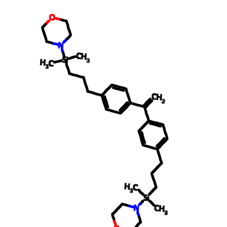 C=C(c1ccc(CCC[Si](C)(C)N2CCOCC2)cc1)c1ccc(CCC[Si](C)(C)N2CCOCC2)cc1